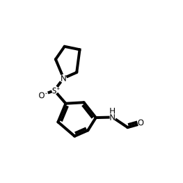 O=CNc1cccc([S+]([O-])N2CCCC2)c1